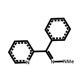 CN/N=C(\c1ccccc1)c1ccccn1